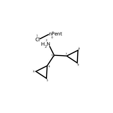 CCCCCCl.N[C](C1CC1)C1CC1